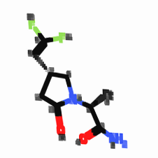 CC[C@@H](C(N)=O)N1C[C@@H](C=C(F)F)CC1=O